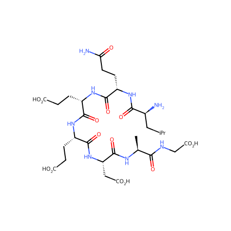 CC(C)C[C@H](N)C(=O)N[C@@H](CCC(N)=O)C(=O)N[C@@H](CCC(=O)O)C(=O)N[C@@H](CCC(=O)O)C(=O)N[C@@H](CC(=O)O)C(=O)N[C@@H](C)C(=O)NCC(=O)O